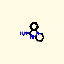 N=C(N)c1ccccc1N1CCCCC1